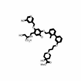 COC(=O)C1(O)CCN(CCCOc2cccc(-c3cccc(COc4cc(OCc5cncc(C#N)c5)c(CN[C@H](CO)C(=O)O)cc4Cl)c3C)c2)CC1